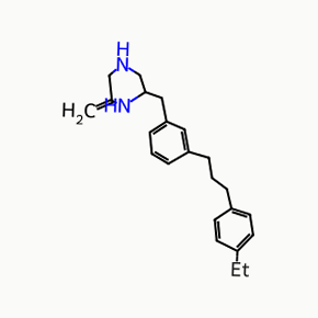 C=C1CNCC(Cc2cccc(CCCc3ccc(CC)cc3)c2)N1